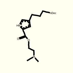 CCCCCCCCCCCCCc1c[nH]c(C(=O)OCCN(C)C)c1